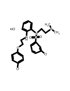 CN(C)CCN(c1ccccc1NCCOc1ccc(Cl)cc1)S(=O)(=O)c1cccc(Cl)c1.Cl